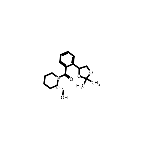 CC1(C)OCC(c2ccccc2C(=O)N2CCCC[C@H]2CO)O1